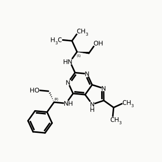 CC(C)c1nc2nc(N[C@H](CO)C(C)C)nc(N[C@@H](CO)c3ccccc3)c2[nH]1